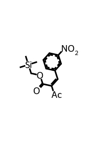 CC(=O)C(=Cc1cccc([N+](=O)[O-])c1)C(=O)OC[Si](C)(C)C